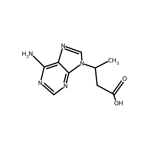 CC(CC(=O)O)n1cnc2c(N)ncnc21